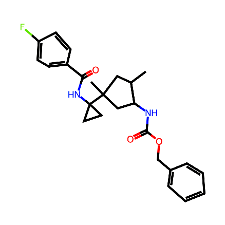 CC1CC(C)(C2(NC(=O)c3ccc(F)cc3)CC2)CC1NC(=O)OCc1ccccc1